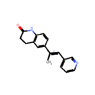 C/C(=C\c1cccnc1)c1ccc2c(c1)CCC(=O)N2